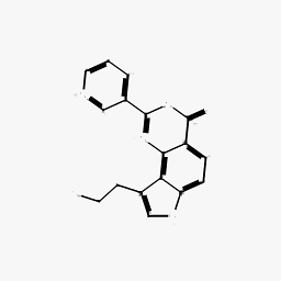 NCCc1c[nH]c2ccc3c(=O)[nH]c(-c4cccnc4)nc3c12